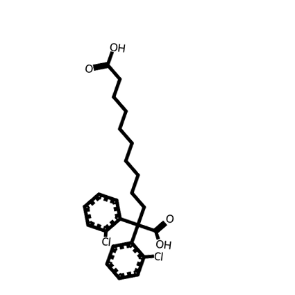 O=C(O)CCCCCCCCCC(C(=O)O)(c1ccccc1Cl)c1ccccc1Cl